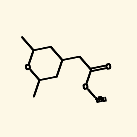 CC1CC(CC(=O)OC(C)(C)C)CC(C)O1